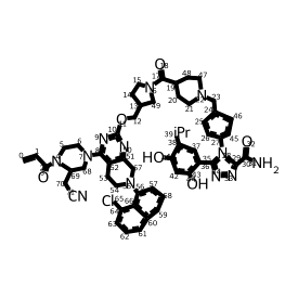 C=CC(=O)N1CCN(c2nc(OCC3CCN(C(=O)C4CCN(Cc5ccc(-n6c(C(N)=O)nnc6-c6cc(C(C)C)c(O)cc6O)cc5)CC4)C3)nc3c2CCN(c2cccc4cccc(Cl)c24)C3)CC1CC#N